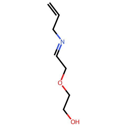 C=CCN=CCOCCO